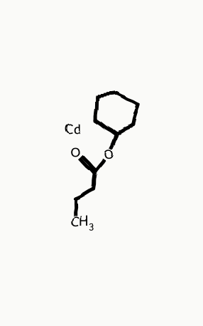 CCCC(=O)OC1CCCCC1.[Cd]